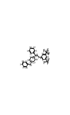 FC(F)(F)c1cc(C[CH]C(c2ccccc2)N2CCN(Cc3ccccc3)CC2)cc(C(F)(F)F)c1